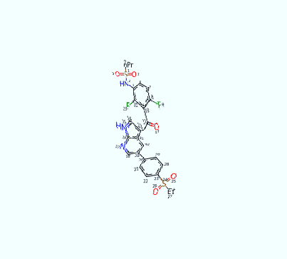 CCCS(=O)(=O)Nc1ccc(F)c(C(=O)c2c[nH]c3ncc(-c4ccc(S(=O)(=O)CC)cc4)cc23)c1F